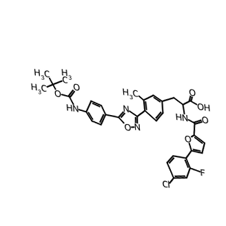 Cc1cc(CC(NC(=O)c2ccc(-c3ccc(Cl)cc3F)o2)C(=O)O)ccc1-c1noc(-c2ccc(NC(=O)OC(C)(C)C)cc2)n1